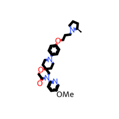 COc1ccc(N2CC3(CCN(c4ccc(OCCCN5CCC[C@H]5C)cc4)CC3)OCC2=O)nc1